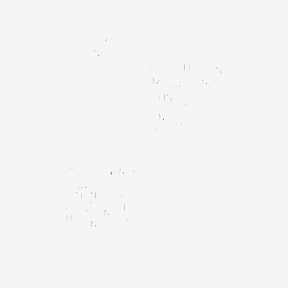 CC(C)[C@H](NC(=O)CCCCCN1C(=O)C=CC1=O)C(=O)N[C@@H](CCCNC(N)=O)C(=O)Nc1ccc(COC(=O)N[C@H](CF)CCN(C(=O)[C@H](C)O)[C@@H](c2nc(-c3cc(F)ccc3F)cn2CC2(C)COC2)C(C)(C)C)cc1